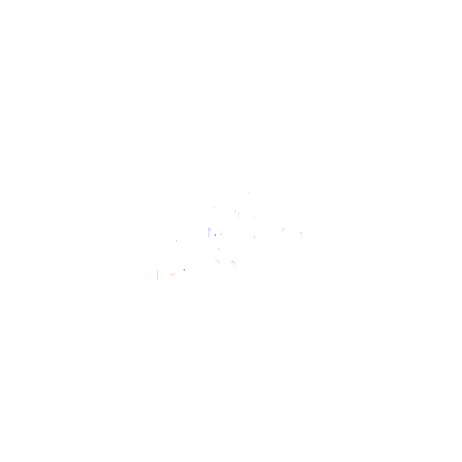 OC[C@H]1CCCN(CC2(c3ccc(Cl)cc3)CCC2)[C@H]1CO